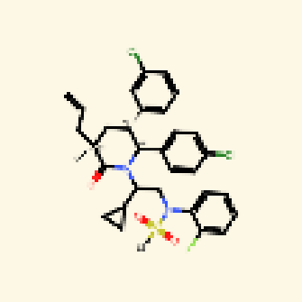 C=CC[C@@]1(C)C[C@H](c2cccc(Cl)c2)[C@@H](c2ccc(Cl)cc2)N(C(CN(c2ccccc2F)S(=O)(=O)CC)C2CC2)C1=O